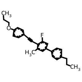 CCCOc1ccc(C#Cc2c(C)cc(-c3ccc(CCC)cc3)cc2F)cc1